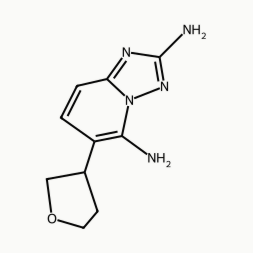 Nc1nc2ccc(C3CCOC3)c(N)n2n1